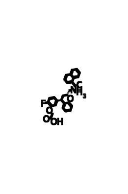 C[C@@H](NC[C@H]1C[C@H](c2ccc(F)c(OCC(=O)O)c2)c2ccccc2O1)c1cccc2ccccc12